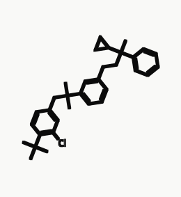 CC(C)(C)c1ccc(CC(C)(C)c2cccc(CCC(C)(c3ccccc3)C3CC3)c2)cc1Cl